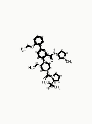 CCOc1ccccc1-c1ccc(N2CCN(C(=O)N3CCC[C@H]3C(C)(C)F)C[C@H]2CC)c(C(=O)N[C@@H]2CCN(C)C2)n1